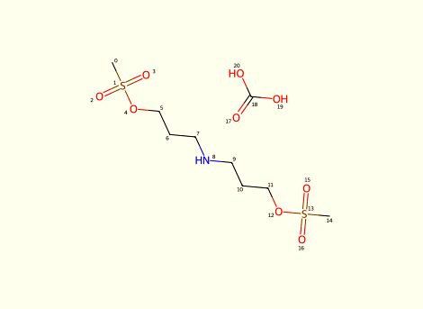 CS(=O)(=O)OCCCNCCCOS(C)(=O)=O.O=C(O)O